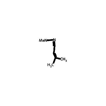 CN/N=C\C=C(C)C